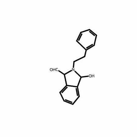 O=CC1c2ccccc2C(O)N1CCc1ccccc1